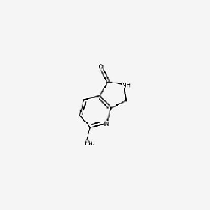 CC(C)(C)c1ccc2c(n1)CNC2=O